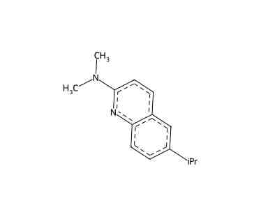 CC(C)c1ccc2nc(N(C)C)ccc2c1